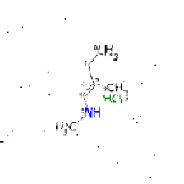 CC/C(C)=C/NC.Cl